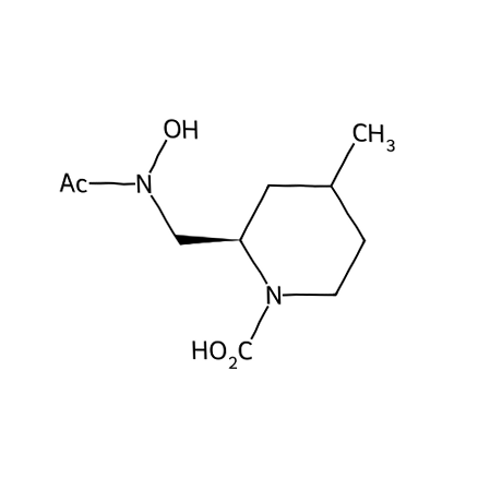 CC(=O)N(O)C[C@H]1CC(C)CCN1C(=O)O